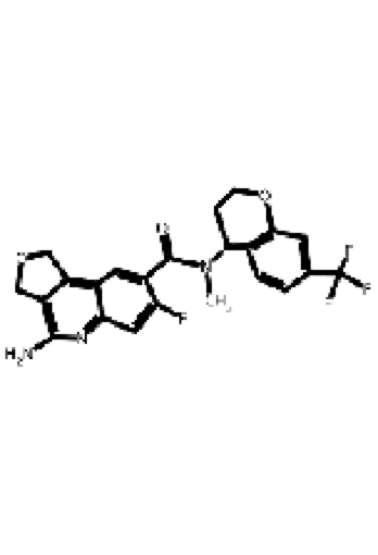 CN(C(=O)c1cc2c3c(c(N)nc2cc1F)COC3)[C@H]1CCOc2cc(C(F)(F)F)ccc21